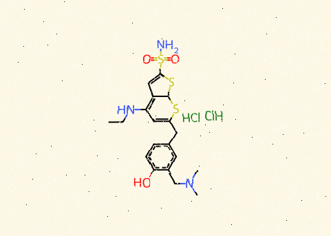 CCNC1=C2C=C(S(N)(=O)=O)SC2SC(Cc2ccc(O)c(CN(C)C)c2)=C1.Cl.Cl